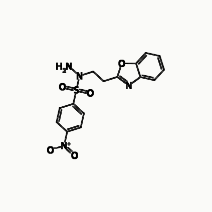 NN(CCc1nc2ccccc2o1)S(=O)(=O)c1ccc([N+](=O)[O-])cc1